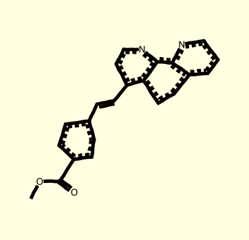 COC(=O)c1ccc(C=Cc2ccnc3c2ccc2cccnc23)cc1